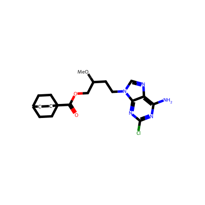 COC(CCn1cnc2c(N)nc(Cl)nc21)COC(=O)C12CCC(CC1)CC2